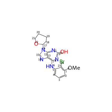 COc1cccc(Nc2nc(O)nc3c2ncn3C2CCCCO2)c1Br